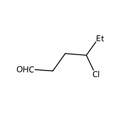 CCC(Cl)CCC=O